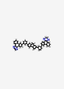 CC1(C)c2cc(-c3cccc(-c4ccc5c(c4)c4ccccc4c4nccnc54)c3)ccc2-c2ccc(-c3cccc(-c4ccc5c(c4)c4ccccc4c4nccnc54)c3)cc21